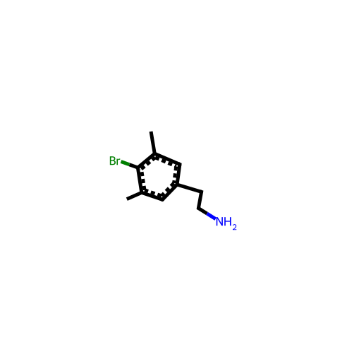 Cc1cc(CCN)cc(C)c1Br